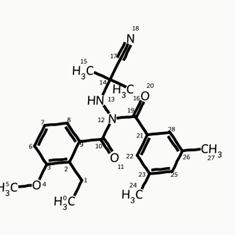 CCc1c(OC)cccc1C(=O)N(NC(C)(C)C#N)C(=O)c1cc(C)cc(C)c1